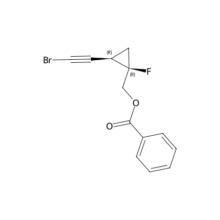 O=C(OC[C@@]1(F)C[C@@H]1C#CBr)c1ccccc1